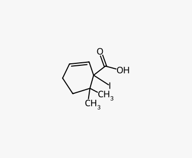 CC1(C)CCC=CC1(I)C(=O)O